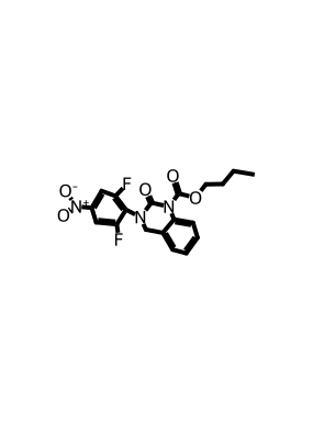 CCCCOC(=O)N1C(=O)N(c2c(F)cc([N+](=O)[O-])cc2F)Cc2ccccc21